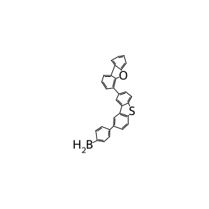 Bc1ccc(-c2ccc3sc4ccc(-c5cccc6c5oc5ccccc56)cc4c3c2)cc1